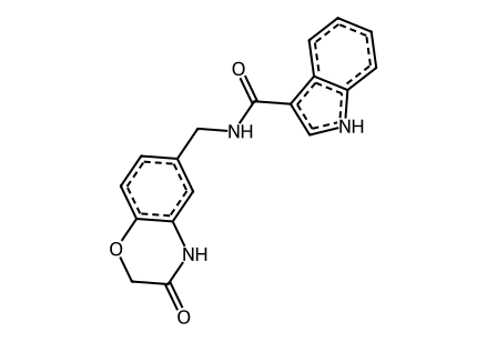 O=C1COc2ccc(CNC(=O)c3c[nH]c4ccccc34)cc2N1